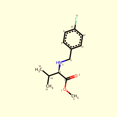 COC(=O)[C@H](NCc1ccc(F)cc1)C(C)C